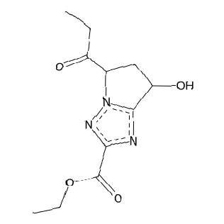 CCOC(=O)c1nc2n(n1)C(C(=O)CC)CC2O